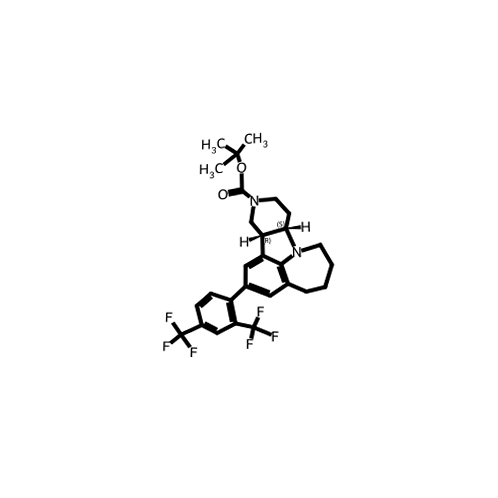 CC(C)(C)OC(=O)N1CC[C@H]2[C@@H](C1)c1cc(-c3ccc(C(F)(F)F)cc3C(F)(F)F)cc3c1N2CCCC3